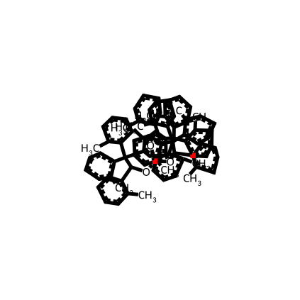 Cc1ccccc1C(OB(OC(c1ccccc1C)C(c1ccccc1C)(c1ccccc1C)c1ccccc1C)OC(c1ccccc1C)C(c1ccccc1C)(c1ccccc1C)c1ccccc1C)C(c1ccccc1C)(c1ccccc1C)c1ccccc1C